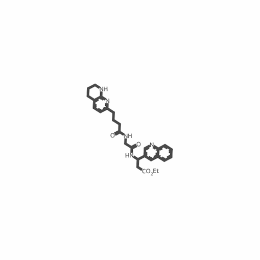 CCOC(=O)CC(NC(=O)CNC(=O)CCCc1ccc2c(n1)NCCC2)c1cnc2ccccc2c1